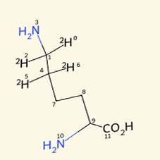 [2H]C([2H])(N)C([2H])([2H])CCC(N)C(=O)O